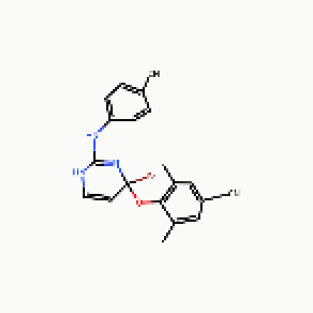 Cc1cc(C#N)cc(C)c1OC1(Br)C=CNC(Nc2ccc(C#N)cc2)=N1